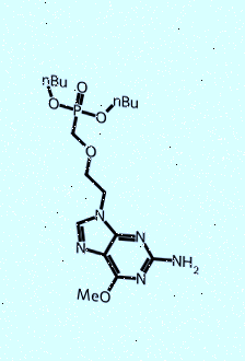 CCCCOP(=O)(COCCn1cnc2c(OC)nc(N)nc21)OCCCC